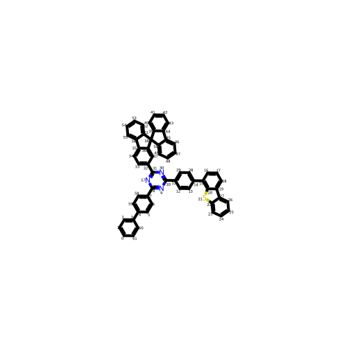 c1ccc(-c2ccc(-c3nc(-c4ccc(-c5cccc6c5sc5ccccc56)cc4)nc(-c4ccc5c(c4)C4(c6ccccc6-c6ccccc64)c4ccccc4-5)n3)cc2)cc1